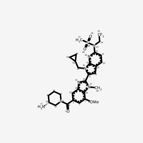 COc1cc(C(=O)N2CCC[C@@H](N)C2)cc2nc(-c3cc4ccc(N(CC(F)(F)F)S(C)(=O)=O)nc4n3CC3CC3)n(C)c12